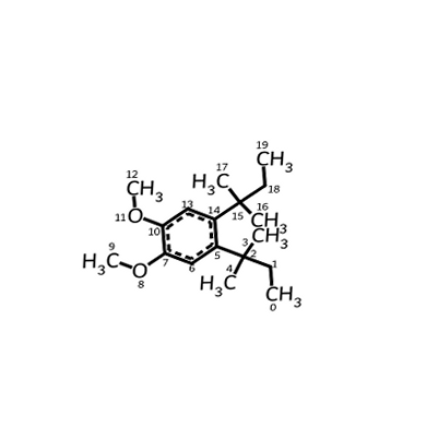 CCC(C)(C)c1cc(OC)c(OC)cc1C(C)(C)CC